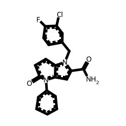 NC(=O)c1cc2c(ccc(=O)n2-c2ccccc2)n1Cc1ccc(F)c(Cl)c1